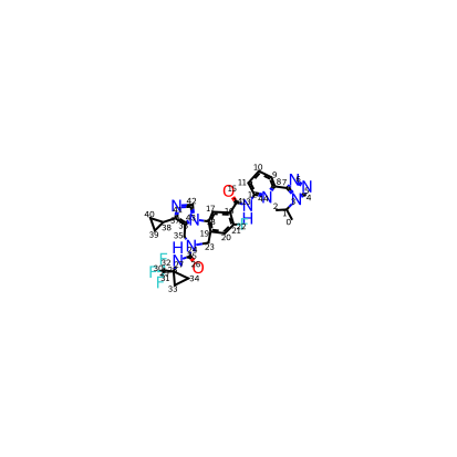 CC(C)n1cnnc1-c1cccc(NC(=O)c2cc3c(cc2F)CN(C(=O)NC2(C(F)(F)F)CC2)Cc2c(C4CC4)ncn2-3)n1